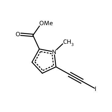 COC(=O)c1ccc(C#CI)n1C